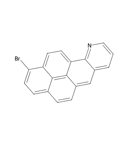 Brc1ccc2ccc3cc4cccnc4c4ccc1c2c34